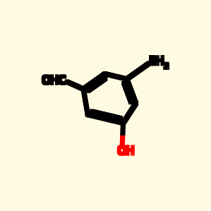 Bc1cc(O)cc(C=O)c1